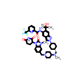 CN(C[C@H]1CC[C@H](n2cc3cc(NC(=O)c4cccc(C(F)(F)F)n4)c(C(C)(C)O)cc3n2)CC1)C1CCN(Cc2ccc3c(c2)n(C)c(=O)n3C2CCC(=O)NC2=O)CC1